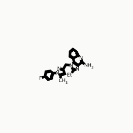 CCc1nc2c(N)nc3ccccc3c2n1Cc1cc(C)n(-c2ccc(F)cc2)n1